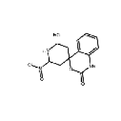 Cl.O=C1Nc2ccccc2C2(CCNC([N+](=O)[O-])C2)O1